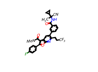 CNC(=O)c1c(-c2ccc(F)cc2)oc2nc(CCC(F)(F)F)c(-c3cccc(C(=O)NC(C)(C#N)C4CC4)c3)cc12